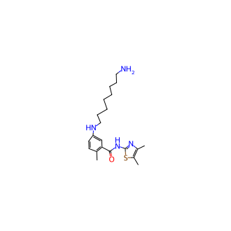 Cc1ccc(NCCCCCCCCN)cc1C(=O)Nc1nc(C)c(C)s1